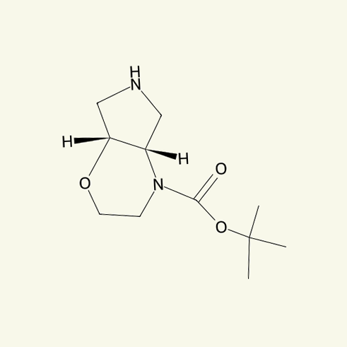 CC(C)(C)OC(=O)N1CCO[C@@H]2CNC[C@@H]21